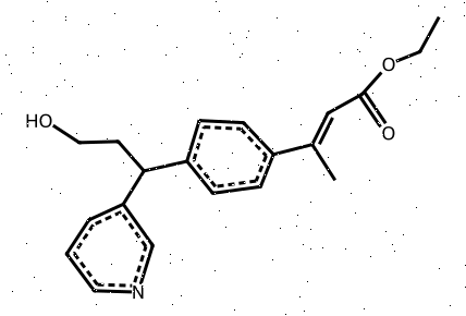 CCOC(=O)C=C(C)c1ccc(C(CCO)c2cccnc2)cc1